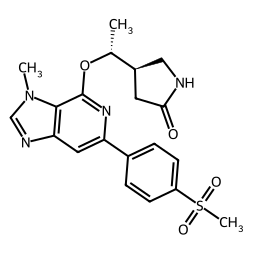 C[C@@H](Oc1nc(-c2ccc(S(C)(=O)=O)cc2)cc2ncn(C)c12)[C@H]1CNC(=O)C1